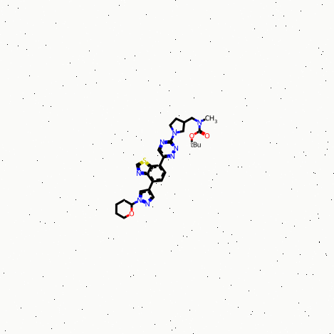 CN(CC1CCN(c2ncc(-c3ccc(-c4cnn(C5CCCCO5)c4)c4ncsc34)nn2)C1)C(=O)OC(C)(C)C